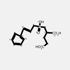 O=C(O)CCC(CP(=O)(O)CC=Cc1ccccc1)C(=O)O